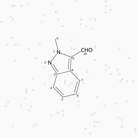 Cn1nc2ccccc2c1[C]=O